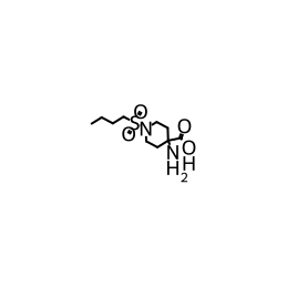 CCCCS(=O)(=O)N1CCC(N)(C(=O)O)CC1